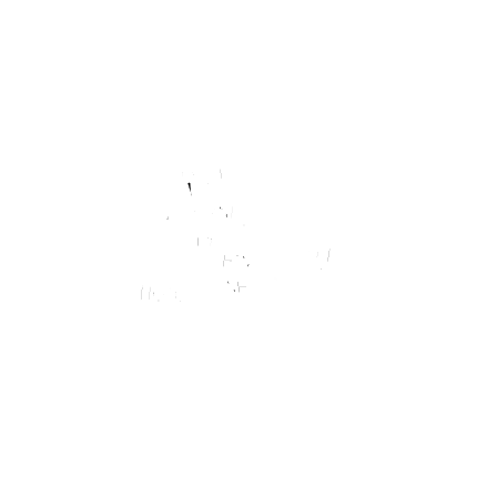 CC(C)[C@H](N)C(=O)O.C[C@H](N)C(=O)O.NCC(=O)O